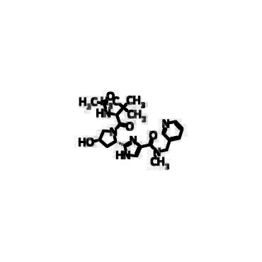 CC(=O)N[C@H](C(=O)N1C[C@H](O)C[C@H]1c1nc(C(=O)N(C)Cc2cccnc2)c[nH]1)C(C)(C)C